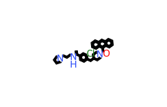 C=C(NCCCN1CCCC1)c1ccc(CC2CCN(C(=O)c3c4ccccc4cc4ccccc34)CC2)c(Cl)c1